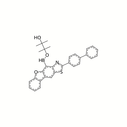 CC(C)(O)C(C)(C)OBc1c2nc(-c3ccc(-c4ccccc4)cc3)sc2cc2c1oc1ccccc12